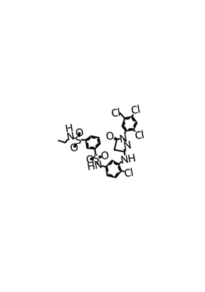 CCNS(=O)(=O)c1cccc(S(=O)(=O)Nc2ccc(Cl)c(NC3=NN(c4cc(Cl)c(Cl)cc4Cl)C(=O)C3)c2)c1